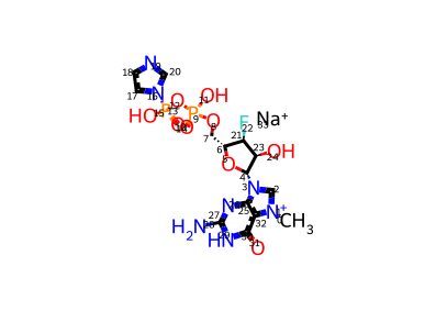 C[n+]1cn([C@@H]2O[C@H](COP(=O)(O)OP(=O)(O)n3ccnc3)[C@@H](F)[C@H]2O)c2nc(N)[nH]c(=O)c21.[Na+]